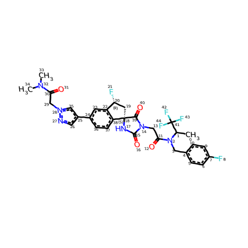 CC(N(Cc1ccc(F)cc1)C(=O)CN1C(=O)N[C@]2(C[C@@H](F)c3cc(-c4cnn(CC(=O)N(C)C)c4)ccc32)C1=O)C(F)(F)F